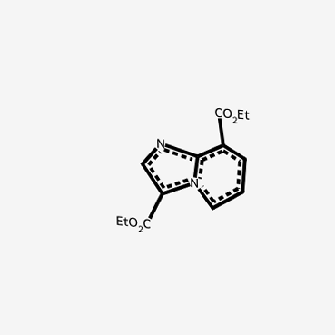 CCOC(=O)c1cccn2c(C(=O)OCC)cnc12